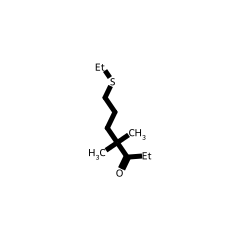 CCSCCCC(C)(C)C(=O)CC